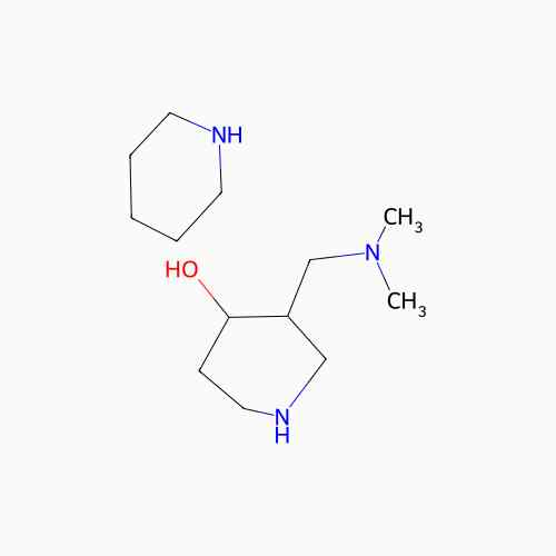 C1CCNCC1.CN(C)CC1CNCCC1O